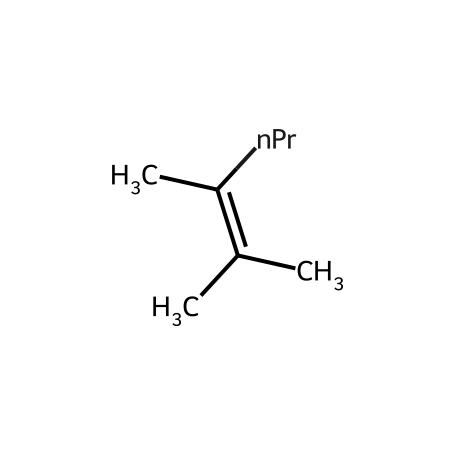 CCCC(C)=C(C)C